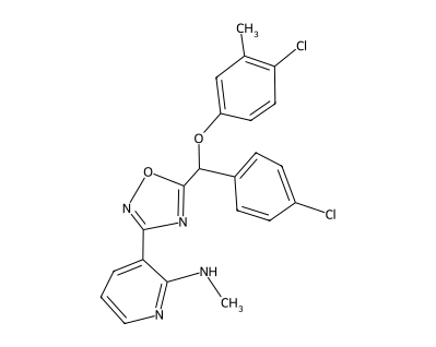 CNc1ncccc1-c1noc(C(Oc2ccc(Cl)c(C)c2)c2ccc(Cl)cc2)n1